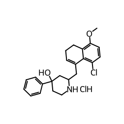 COc1ccc(Cl)c2c1CCC=C2CC1CC(O)(c2ccccc2)CCN1.Cl